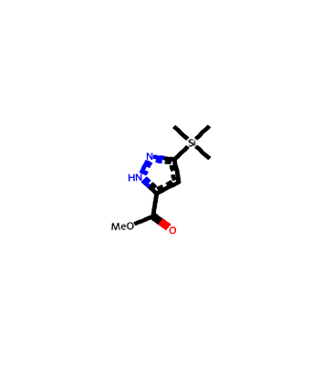 COC(=O)c1cc([Si](C)(C)C)n[nH]1